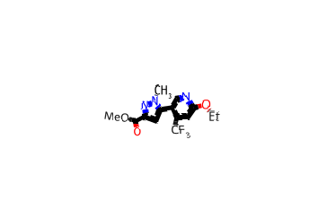 CCOc1cc(C(F)(F)F)c(-c2cc(C(=O)OC)nn2C)cn1